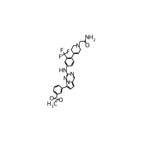 CS(=O)(=O)c1cccc(-c2ccc3cnc(Nc4ccc(C5=CCN(CC(N)=O)CC5)c(C(F)(F)F)c4)nn23)c1